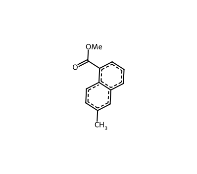 COC(=O)c1cccc2cc(C)ccc12